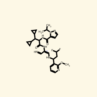 COc1ncccc1C(CC(F)F)N/C=C(\C=N)NC(=O)C(NC(=O)c1ccnn1C(C)C)C(C1CC1)C1CC1